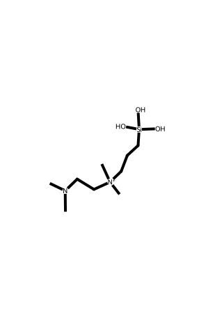 CN(C)CC[N+](C)(C)CCC[Si](O)(O)O